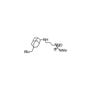 CNS(=O)(=O)NCCCNC1C2CC3CC1CC(CC(C)(C)C)(C3)C2